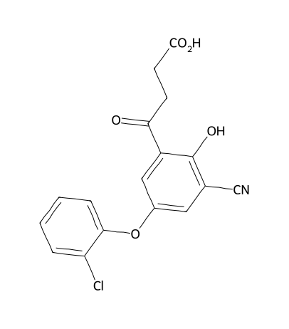 N#Cc1cc(Oc2ccccc2Cl)cc(C(=O)CCC(=O)O)c1O